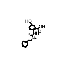 CN(CCc1ccccc1)C(=S)Nc1ccc(O)cc1C(=O)O